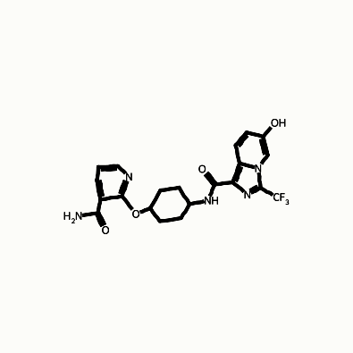 NC(=O)c1cccnc1OC1CCC(NC(=O)c2nc(C(F)(F)F)n3cc(O)ccc23)CC1